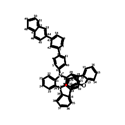 c1cc(-c2ccc(N(c3ccc4oc5ccccc5c4c3)c3ccccc3-n3c4ccccc4c4ccccc43)cc2)cc(-c2ccc3ccccc3c2)c1